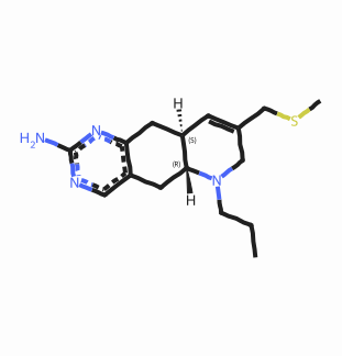 CCCN1CC(CSC)=C[C@@H]2Cc3nc(N)ncc3C[C@H]21